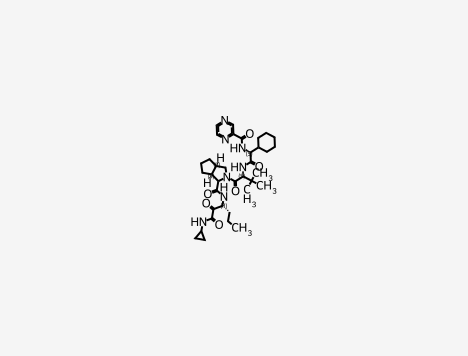 CCC[C@@H](NC(=O)C1[C@H]2CCC[C@H]2CN1C(=O)[C@@H](NC(=O)[C@@H](NC(=O)c1cnccn1)C1CCCCC1)C(C)(C)C)C(=O)C(=O)NC1CC1